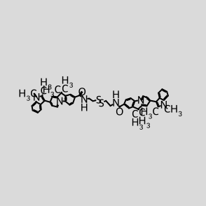 Cc1c(-c2cc[n+]3c(c2)C(C)(C)c2cc(C(=O)NCCSSCCNC(=O)c4ccc5c(c4)C(C)(C)c4cc(-c6c(C)n(C)c7ccccc67)cc[n+]4-5)ccc2-3)c2ccccc2n1C